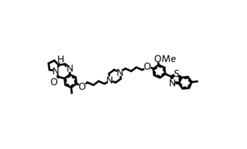 COc1cc(-c2nc3ccc(C)cc3s2)ccc1OCCCCN1CCN(CCCCOc2cc3c(cc2C)C(=O)N2CCC[C@H]2C=N3)CC1